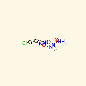 NC(=O)CCn1c(C2CCCN(C(=O)CC(N)Cc3ccc(-c4ccc(Cl)cc4)cc3)C2)nc2ccccc21